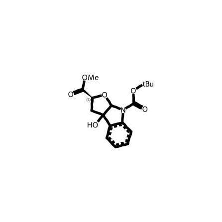 COC(=O)[C@@H]1CC2(O)c3ccccc3N(C(=O)OC(C)(C)C)C2O1